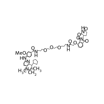 C=C1[C@@H](C)C(C2CCCC2)c2nc(Nc3ccc(C(=O)NCCCOCCOCCOCCCNC(=O)COc4cccc5c4C(=O)N(C4CCC(=O)NC4=O)C5=O)cc3OC)ccc2N1C